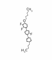 CCCCCCOc1ccc(-c2ccc(-c3ccc(CCCC)cc3)c(F)c2)c(F)c1F